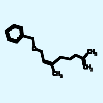 C=C(C)CCCC(C)=CCOCc1ccccc1